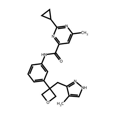 Cc1cc(C(=O)Nc2cccc(C3(Cc4n[nH]cc4C)COC3)c2)nc(C2CC2)n1